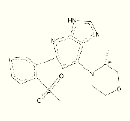 C[C@@H]1COCCN1c1cc(-c2ccccc2S(C)(=O)=O)nc2[nH]cnc12